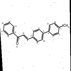 Cc1ccc(-c2ccc(C=CC(=O)c3ccccc3)cc2)cc1